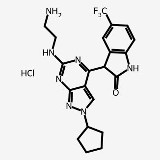 Cl.NCCNc1nc(C2C(=O)Nc3ccc(C(F)(F)F)cc32)c2cn(C3CCCC3)nc2n1